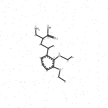 CCOc1cccc(C(C)CC(CN)C(=O)O)c1OCC